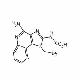 CC(C)Cn1c(NC(=O)O)nc2c(N)nc3cccnc3c21